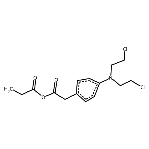 CCC(=O)OC(=O)Cc1ccc(N(CCCl)CCCl)cc1